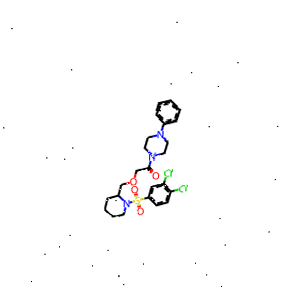 O=C(COCC1CCCCN1S(=O)(=O)c1ccc(Cl)c(Cl)c1)N1CCN(c2ccccc2)CC1